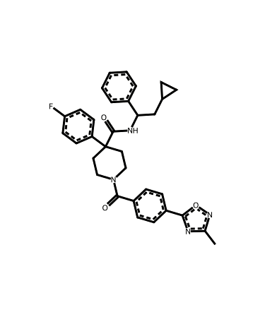 Cc1noc(-c2ccc(C(=O)N3CCC(C(=O)NC(CC4CC4)c4ccccc4)(c4ccc(F)cc4)CC3)cc2)n1